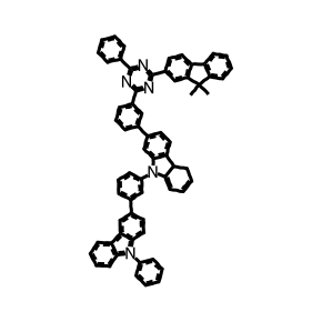 CC1(C)c2ccccc2-c2ccc(-c3nc(-c4ccccc4)nc(-c4cccc(-c5ccc6c(c5)N(c5cccc(-c7ccc8c(c7)c7ccccc7n8-c7ccccc7)c5)C5=CC=CCC56)c4)n3)cc21